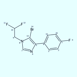 Fc1ccc(-c2ncn(CC(F)F)c2Br)cc1